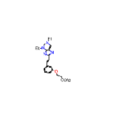 CCN1C=C2N=C(C=Cc3cccc(OCCOC)c3)N=C2N(CC)C1